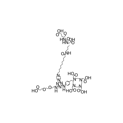 O=C[C@H](CCC(=O)O)NC(=O)N[C@@H](CCCCNC(=O)CCCCCCCCCCN1CCN(c2nc(NCCOCCOCCC(=O)O)nc(Nc3ccc(CC4CN(CC(=O)O)CCN(CC(=O)O)CCN(CC(=O)O)CCN4CC(=O)O)cc3)n2)CC1)C(=O)O